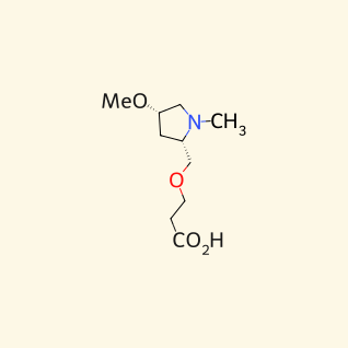 CO[C@H]1C[C@@H](COCCC(=O)O)N(C)C1